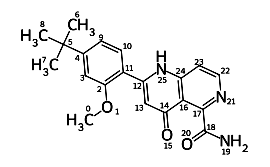 COc1cc(C(C)(C)C)ccc1-c1cc(=O)c2c(C(N)=O)nccc2[nH]1